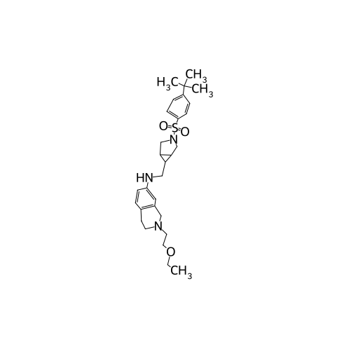 CCOCCN1CCc2ccc(NCC3C4CN(S(=O)(=O)c5ccc(C(C)(C)C)cc5)CC34)cc2C1